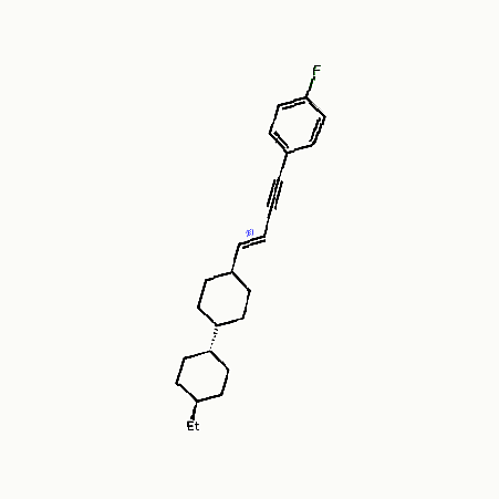 CC[C@H]1CC[C@H](C2CCC(/C=C/C#Cc3ccc(F)cc3)CC2)CC1